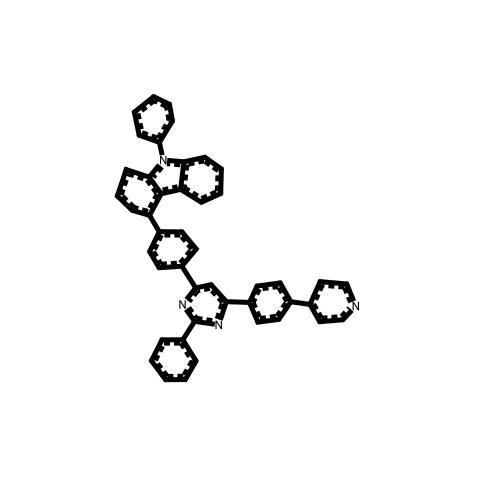 c1ccc(-c2nc(-c3ccc(-c4ccncc4)cc3)cc(-c3ccc(-c4cccc5c4c4ccccc4n5-c4ccccc4)cc3)n2)cc1